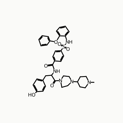 CN1CCC(N2CCN(C(=O)C(Cc3ccc(O)cc3)NC(=O)c3ccc(S(=O)(=O)Nc4ccccc4Oc4ccccc4)cc3)CC2)CC1